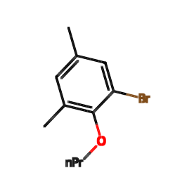 CCCOc1c(C)cc(C)cc1Br